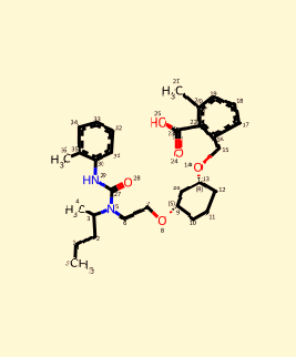 CCCC(C)N(CCO[C@H]1CCC[C@@H](OCc2cccc(C)c2C(=O)O)C1)C(=O)Nc1ccccc1C